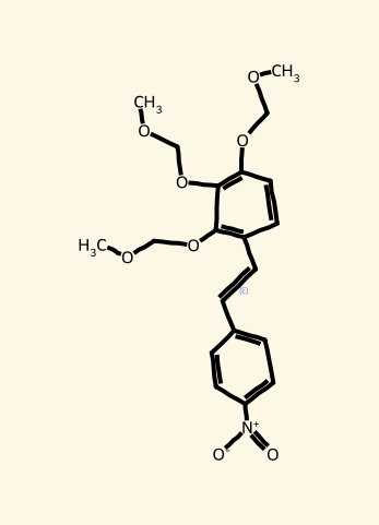 COCOc1ccc(/C=C/c2ccc([N+](=O)[O-])cc2)c(OCOC)c1OCOC